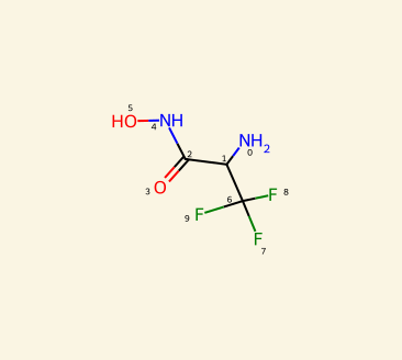 NC(C(=O)NO)C(F)(F)F